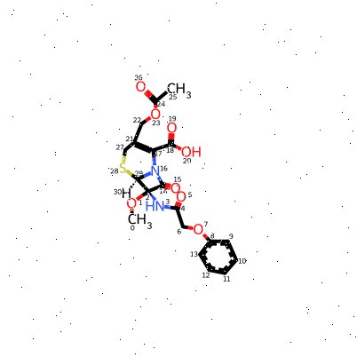 CO[C@@]1(NC(=O)COc2ccccc2)C(=O)N2C(C(=O)O)=C(COC(C)=O)CS[C@@H]21